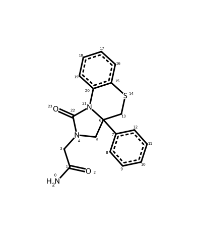 NC(=O)CN1CC2(c3ccccc3)CSc3ccccc3N2C1=O